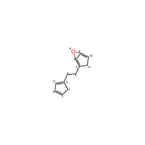 C1=CCC(CCC2=C3OC3=CC2)=C1